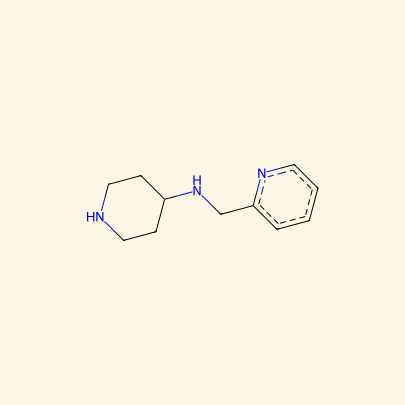 c1ccc(CNC2CCNCC2)nc1